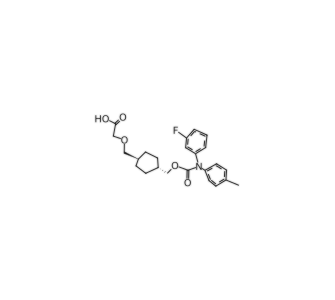 Cc1ccc(N(C(=O)OC[C@H]2CC[C@H](COCC(=O)O)CC2)c2cccc(F)c2)cc1